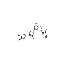 O=C1COCCN1c1cnc2[nH]cc(-c3ccn(Cc4ccc(Cl)c(Cl)c4)c(=O)c3)c2c1